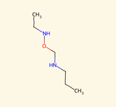 CCCNCONCC